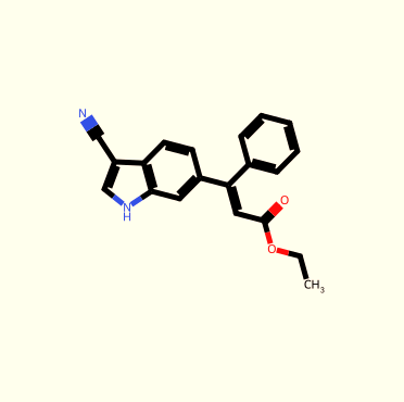 CCOC(=O)C=C(c1ccccc1)c1ccc2c(C#N)c[nH]c2c1